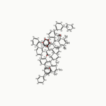 [2H]c1c([2H])c([2H])c(N(c2c(-c3cccc(-c4ccccc4)c3)ccc(-c3cccc(-c4ccccc4)c3)c2F)c2ccc3ccc4c(N(c5c([2H])c([2H])c([2H])c([2H])c5[2H])c5c(-c6cccc(-c7ccccc7)c6)ccc(-c6cccc(-c7ccccc7)c6)c5F)ccc5ccc2c3c54)c([2H])c1[2H]